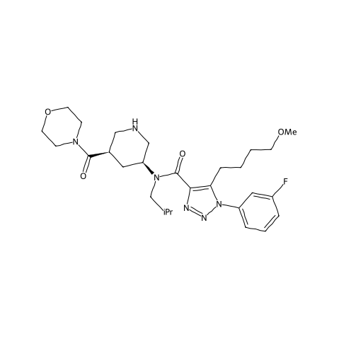 COCCCCc1c(C(=O)N(CC(C)C)[C@@H]2CNC[C@H](C(=O)N3CCOCC3)C2)nnn1-c1cccc(F)c1